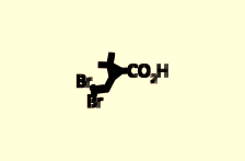 CC1(C)C(C=C(Br)Br)C1C(=O)O